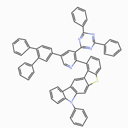 c1ccc(-c2nc(-c3ccccc3)nc(-c3cc(-c4ccc(-c5ccccc5)c(-c5ccccc5)c4)cnc3-c3cccc4sc5cc6c(cc5c34)c3ccccc3n6-c3ccccc3)n2)cc1